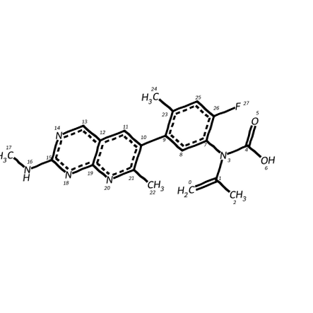 C=C(C)N(C(=O)O)c1cc(-c2cc3cnc(NC)nc3nc2C)c(C)cc1F